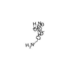 CC(OCc1ccc(CCCN)cc1)C(CCC(N)=O)NC(=O)OC(C)(C)C